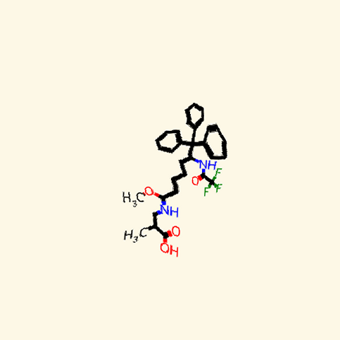 COC(CCCCC(NC(=O)C(F)(F)F)C(c1ccccc1)(c1ccccc1)c1ccccc1)NCC(C)C(=O)O